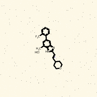 Cc1cc(-c2ccccc2C(F)(F)F)cc2nc(/C=C/C3CCOCC3)[nH]c12.Cl